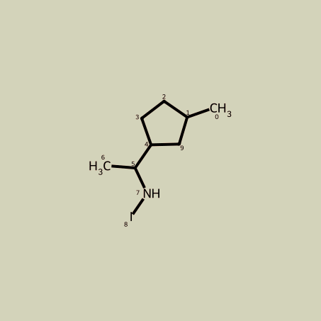 CC1CCC(C(C)NI)C1